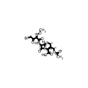 CO/N=C(/C(=O)CBr)C(=O)NC1C(=O)N2C(C(=O)O)=C(COC(C)=O)CS[C@@H]12